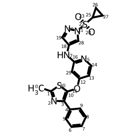 Cc1nc(-c2ccccc2)c(Oc2ccnc(Nc3cnn(S(=O)(=O)C4CC4)c3)c2)s1